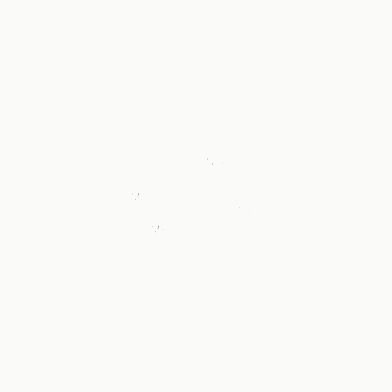 COc1cc2ncc(F)c(C(C)C)c2cc1OC